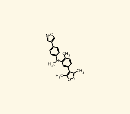 Cc1ccc(-c2c(C)noc2C)cc1N(C)c1ccc(-c2cnoc2)cc1